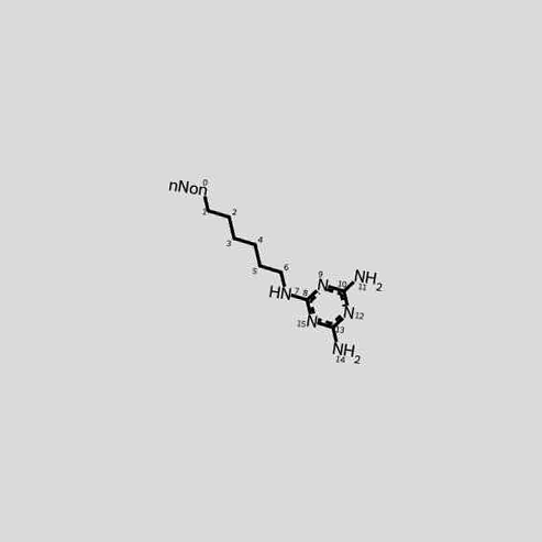 CCCCCCCCCCCCCCCNc1nc(N)nc(N)n1